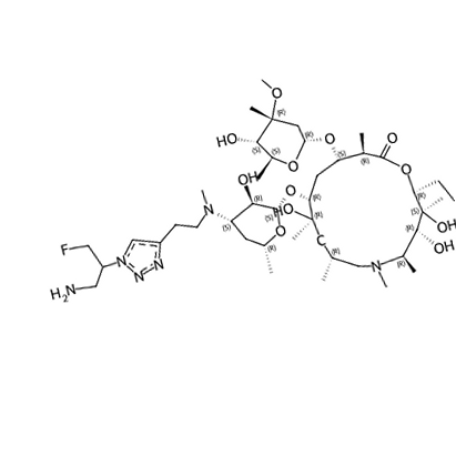 CC[C@H]1OC(=O)[C@H](C)[C@@H](O[C@H]2C[C@@](C)(OC)[C@@H](O)[C@H](C)O2)C[C@@H](O[C@@H]2O[C@H](C)C[C@H](N(C)CCc3cn(C(CN)CF)nn3)[C@H]2O)[C@](C)(O)C[C@@H](C)CN(C)[C@H](C)[C@@H](O)[C@]1(C)O